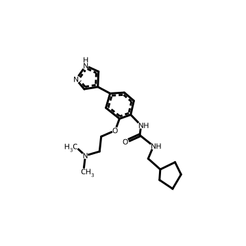 CN(C)CCOc1cc(-c2cn[nH]c2)ccc1NC(=O)NCC1CCCC1